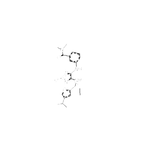 CC[C@@H](Nc1n[s+]([O-])nc1Nc1cccc(C(=O)N(C)C)c1)c1cc(C(C)C)co1